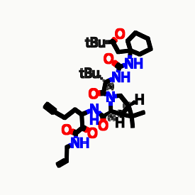 C#CCCC(NC(=O)[C@@H]1[C@@H]2[C@H](CN1C(=O)[C@@H](NC(=O)NC1(CC(=O)C(C)(C)C)CCCCC1)C(C)(C)C)C2(C)C)C(=O)C(=O)NCC=C